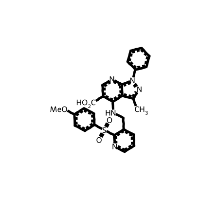 COc1ccc(S(=O)(=O)c2ncccc2CNc2c(C(=O)O)cnc3c2c(C)nn3-c2ccccc2)cc1